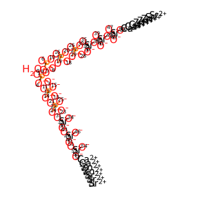 O.O=P([O-])([O-])[O-].O=P([O-])([O-])[O-].O=P([O-])([O-])[O-].O=P([O-])([O-])[O-].O=P([O-])([O-])[O-].O=P([O-])([O-])[O-].O=[Si]([O-])[O-].O=[Si]([O-])[O-].O=[Si]([O-])[O-].O=[Si]([O-])[O-].O=[Si]([O-])[O-].O=[Si]([O-])[O-].[Ca+2].[Ca+2].[Ca+2].[Ca+2].[Ca+2].[Sr+2].[Sr+2].[Sr+2].[Sr+2].[Sr+2].[Zn+2].[Zn+2].[Zn+2].[Zn+2].[Zn+2]